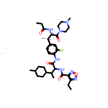 CCC(=O)N[C@@H](C(=O)N1CCN(C)CC1)[C@@H](C)c1ccc(NC(=O)C(NC(=O)c2nonc2CC)C(C)C2CCC(C)CC2)c(F)c1